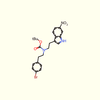 CC(C)(C)OC(=O)N(CCc1ccc(Br)cc1)CCc1c[nH]c2cc([N+](=O)[O-])ccc12